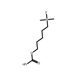 CCCC(=O)OCCCCC[Si](C)(C)F